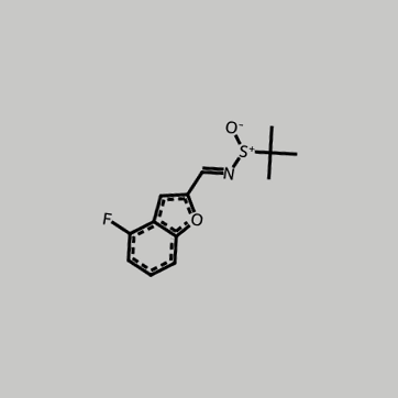 CC(C)(C)[S+]([O-])/N=C/c1cc2c(F)cccc2o1